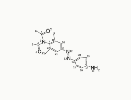 CC(=O)N(C(C)=O)c1c(C)cc(N=Nc2ccc(N)cc2)cc1C